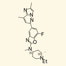 CCN1CC[C@H](N(C)c2nc3cc(-c4cc(C)c5nc(C)cn5n4)cc(F)c3o2)C[C@@H]1C